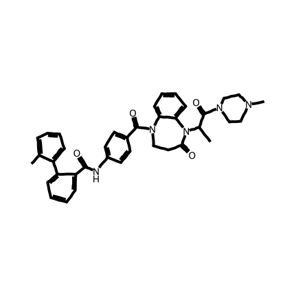 Cc1ccccc1-c1ccccc1C(=O)Nc1ccc(C(=O)N2CCC(=O)N(C(C)C(=O)N3CCN(C)CC3)c3ccccc32)cc1